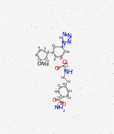 COc1ccccc1-c1cc(OC(=O)NCCc2ccc(S(N)(=O)=O)cc2)cc(-n2cnnn2)c1